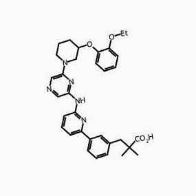 CCOc1ccccc1OC1CCCN(c2cncc(Nc3cccc(-c4cccc(CC(C)(C)C(=O)O)c4)n3)n2)C1